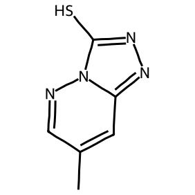 Cc1cnn2c(S)nnc2c1